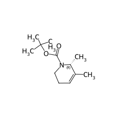 CC1=CCCN(C(=O)OC(C)(C)C)[C@@H]1C